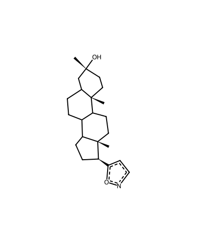 C[C@@]1(O)CC[C@@]2(C)C(CCC3C2CC[C@@]2(C)C3CC[C@@H]2c2ccno2)C1